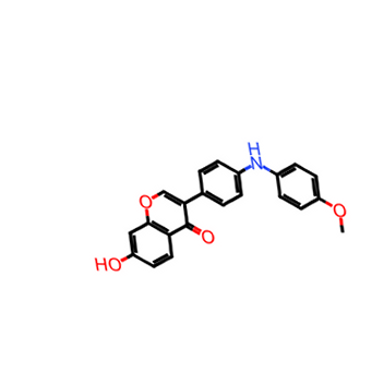 COc1ccc(Nc2ccc(-c3coc4cc(O)ccc4c3=O)cc2)cc1